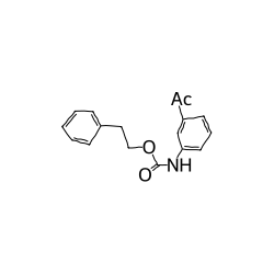 CC(=O)c1cccc(NC(=O)OCCc2ccccc2)c1